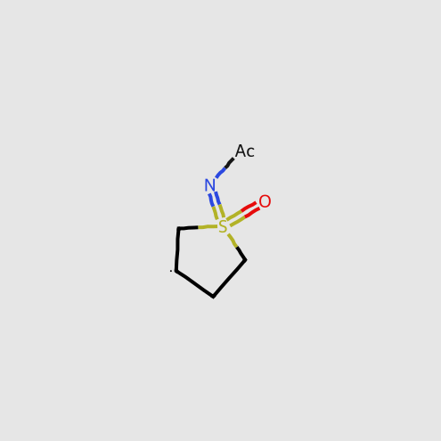 CC(=O)N=S1(=O)C[CH]CC1